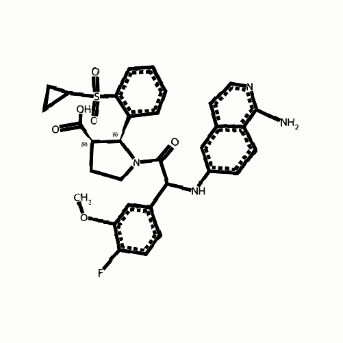 COc1cc(C(Nc2ccc3c(N)nccc3c2)C(=O)N2CC[C@@H](C(=O)O)[C@H]2c2ccccc2S(=O)(=O)C2CC2)ccc1F